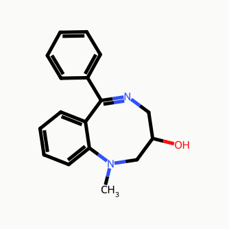 CN1CC(O)C/N=C(/c2ccccc2)c2ccccc21